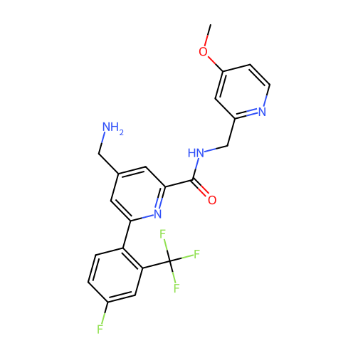 COc1ccnc(CNC(=O)c2cc(CN)cc(-c3ccc(F)cc3C(F)(F)F)n2)c1